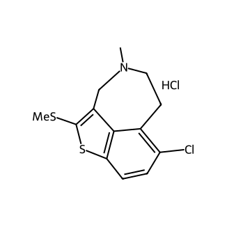 CSc1sc2ccc(Cl)c3c2c1CN(C)CC3.Cl